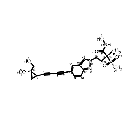 C[C@@]1(CO)CC1C#CC#Cc1ccc2nn(CC[C@](C)(C(=O)NO)S(C)(=O)=O)cc2c1